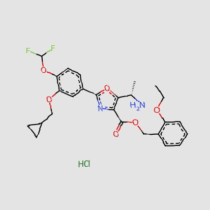 CCOc1ccccc1COC(=O)c1nc(-c2ccc(OC(F)F)c(OCC3CC3)c2)oc1[C@H](C)N.Cl